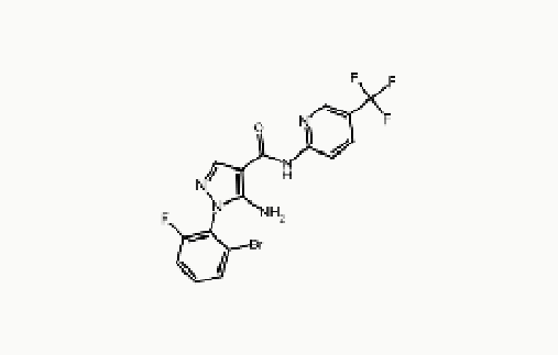 Nc1c(C(=O)Nc2ccc(C(F)(F)F)cn2)cnn1-c1c(F)cccc1Br